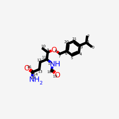 CC(C)c1ccc(COC(C)C(CCC(N)=O)NC=O)cc1